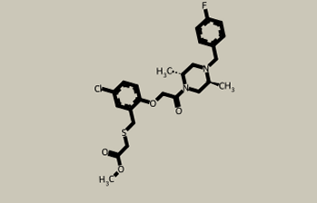 COC(=O)CSCc1cc(Cl)ccc1OCC(=O)N1C[C@H](C)N(Cc2ccc(F)cc2)C[C@H]1C